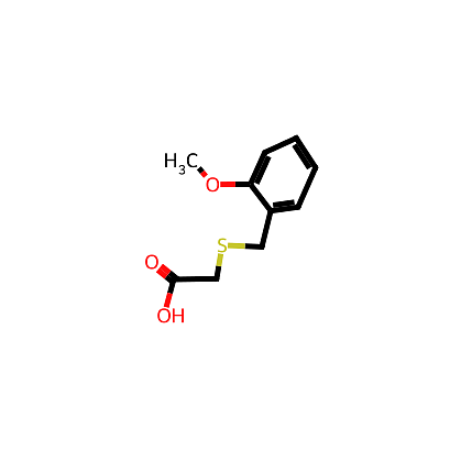 COc1ccccc1CSCC(=O)O